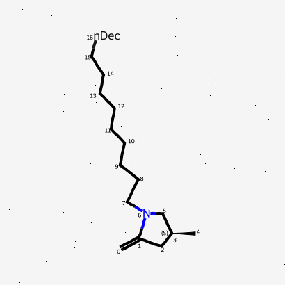 C=C1C[C@H](C)CN1CCCCCCCCCCCCCCCCCCC